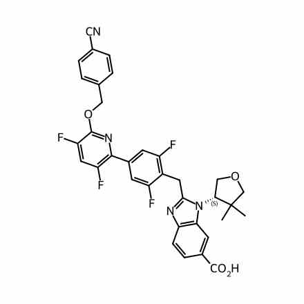 CC1(C)COC[C@H]1n1c(Cc2c(F)cc(-c3nc(OCc4ccc(C#N)cc4)c(F)cc3F)cc2F)nc2ccc(C(=O)O)cc21